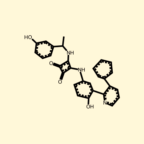 CC(Nc1c(Nc2ccc(O)c(-c3ncccc3-c3ccccc3)c2)c(=O)c1=O)c1cccc(O)c1